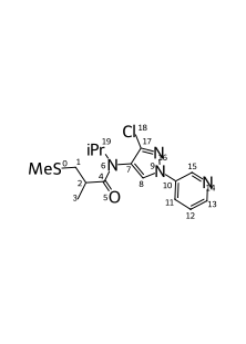 CSCC(C)C(=O)N(c1cn(-c2cccnc2)nc1Cl)C(C)C